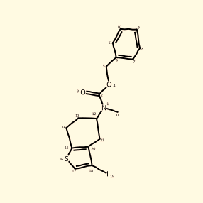 CN(C(=O)OCc1ccccc1)C1CCc2scc(I)c2C1